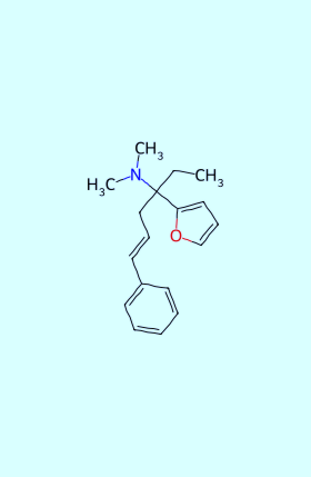 CCC(C/C=C/c1ccccc1)(c1ccco1)N(C)C